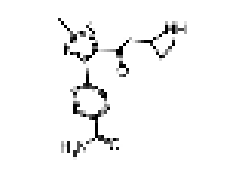 Cc1nc(-c2ccc(C(N)=O)cc2)c(C(=O)[CH]C2CCN2)s1